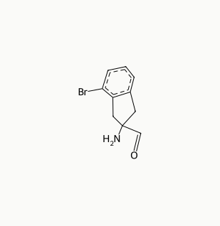 NC1(C=O)Cc2cccc(Br)c2C1